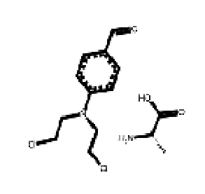 C[C@H](N)C(=O)O.O=Cc1ccc(N(CCCl)CCCl)cc1